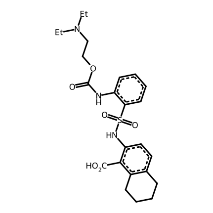 CCN(CC)CCOC(=O)Nc1ccccc1S(=O)(=O)Nc1ccc2c(c1C(=O)O)CCCC2